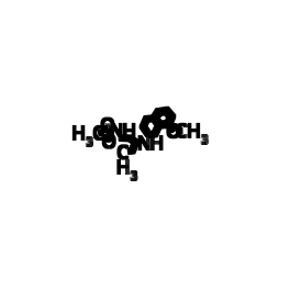 CCC(CCNS(C)(=O)=O)NC1CCc2cccc(OC)c2C1